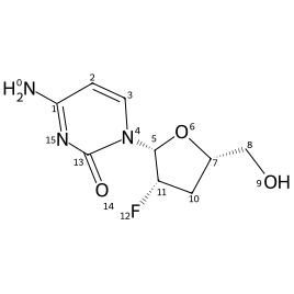 Nc1ccn([C@@H]2O[C@H](CO)C[C@@H]2F)c(=O)n1